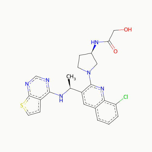 C[C@H](Nc1ncnc2sccc12)c1cc2cccc(Cl)c2nc1N1CC[C@@H](NC(=O)CO)C1